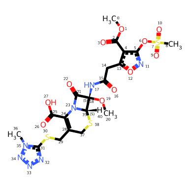 COC(=O)c1c(OS(C)(=O)=O)noc1CC(=O)N[C@]1(OC)C(=O)N2C(C(=O)O)=C(CSc3nnnn3C)CS[C@H]21